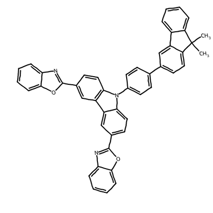 CC1(C)c2ccccc2-c2cc(-c3ccc(-n4c5ccc(-c6nc7ccccc7o6)cc5c5cc(-c6nc7ccccc7o6)ccc54)cc3)ccc21